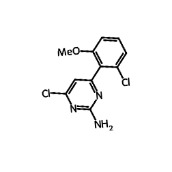 COc1cccc(Cl)c1-c1cc(Cl)nc(N)n1